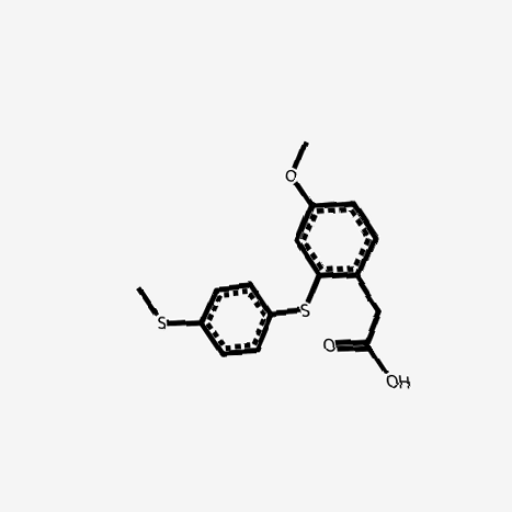 COc1ccc(CC(=O)O)c(Sc2ccc(SC)cc2)c1